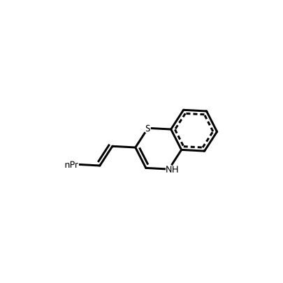 [CH2]CC/C=C/C1=CNc2ccccc2S1